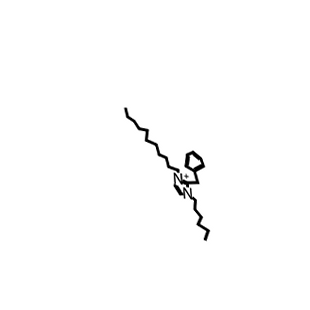 CCCCCCCCCCC[n+]1ccn(CCCCCC)c1Cc1ccccc1